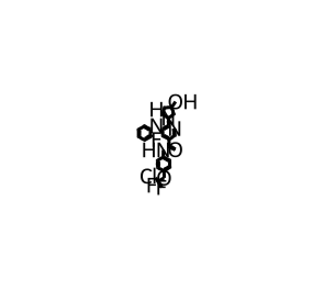 O=C(Nc1ccc(OC(F)(F)Cl)cc1)c1cnc(N2CCC(O)C2)c(Nc2ccccc2F)c1